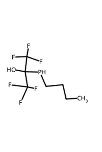 CCCCPC(O)(C(F)(F)F)C(F)(F)F